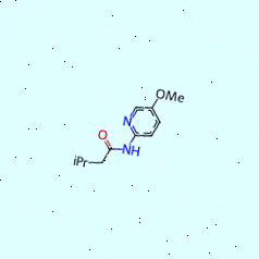 COc1ccc(NC(=O)CC(C)C)nc1